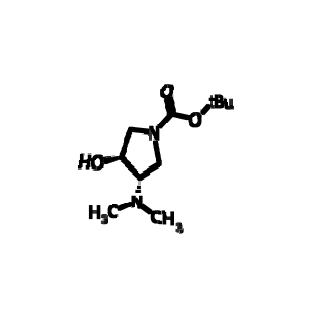 CN(C)[C@H]1CN(C(=O)OC(C)(C)C)C[C@@H]1O